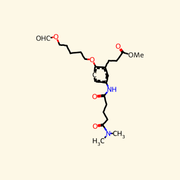 COC(=O)CCc1cc(NC(=O)CCCC(=O)N(C)C)ccc1OCCCCCOC=O